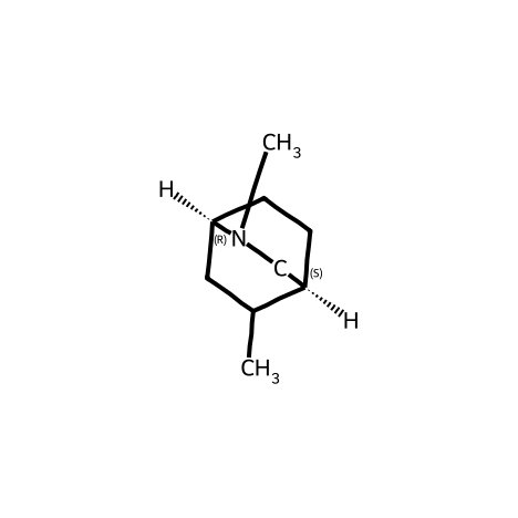 CC1C[C@H]2CC[C@@H]1CN2C